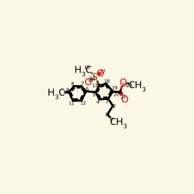 CCCc1cc(-c2ccc(C)cc2)c(S(C)(=O)=O)cc1C(=O)OC